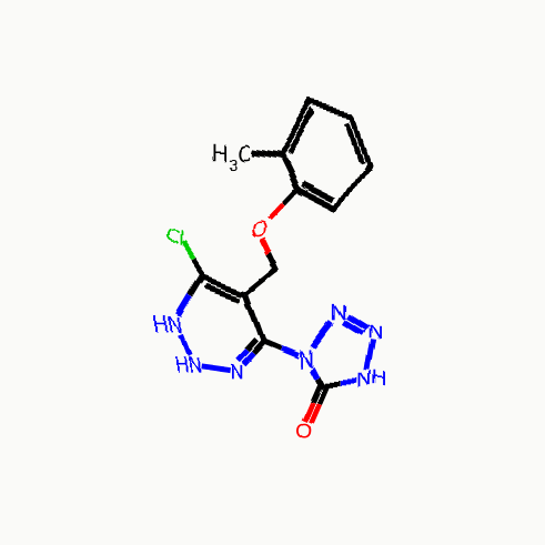 Cc1ccccc1OCC1=C(Cl)NNN=C1n1nn[nH]c1=O